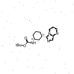 CC(C)(C)OC(=O)N[C@@H]1CCC[C@H](c2ncc3ncccn23)C1